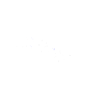 CC(C)(C)c1nc(C23CCC(CNc4cccc(Br)c4)(CC2)C3)no1